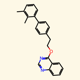 Cc1cccc(-c2ccc(CCOc3ncnc4ccccc34)cc2)c1C